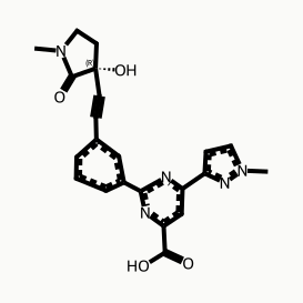 CN1CC[C@@](O)(C#Cc2cccc(-c3nc(C(=O)O)cc(-c4ccn(C)n4)n3)c2)C1=O